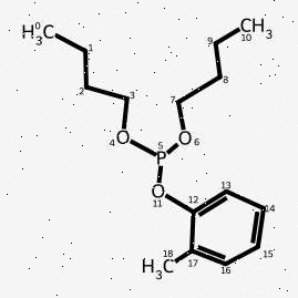 CCCCOP(OCCCC)Oc1ccccc1C